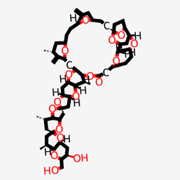 C=C1C2CC3O[C@H]4C[C@H]5O[C@@]6(CC7O[C@@]8(C[C@H](C)C7O6)C[C@H](C)[C@@H]6OC(CO)[C@H](O)C[C@@H]6O8)C[C@H]5O[C@H]4[C@H](C)[C@H]3OC(=O)CC3CC[C@@H]4O[C@@H]5C[C@@H](O[C@@]6(CCC7CC(=C)[C@H](CCC(C[C@H]1C)O2)O7)CCC5O6)[C@H]4O3